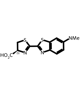 CNc1ccc2nc(C3=N[C@@H](C(=O)O)CS3)sc2c1